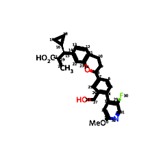 COc1cc(-c2ccc(C3CCc4ccc([C@H](C5CC5)[C@H](C)C(=O)O)cc4O3)cc2CO)c(F)cn1